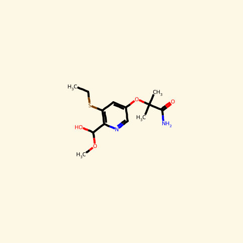 CCSc1cc(OC(C)(C)C(N)=O)cnc1C(O)OC